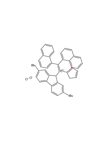 CC(C)(C)c1ccc2c(c1)[CH]([Hf+2]([C]1=CC=CC1)=[C](c1cccc3ccccc13)c1cccc3ccccc13)c1cc(C(C)(C)C)ccc1-2.[Cl-].[Cl-]